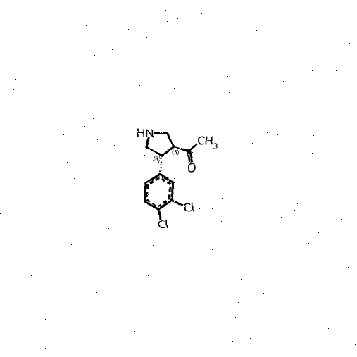 CC(=O)[C@@H]1CNC[C@H]1c1ccc(Cl)c(Cl)c1